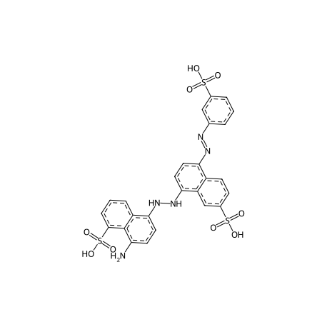 Nc1ccc(NNc2ccc(/N=N/c3cccc(S(=O)(=O)O)c3)c3ccc(S(=O)(=O)O)cc23)c2cccc(S(=O)(=O)O)c12